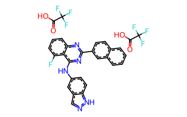 Fc1cccc2nc(-c3ccc4ccccc4c3)nc(Nc3ccc4[nH]ncc4c3)c12.O=C(O)C(F)(F)F.O=C(O)C(F)(F)F